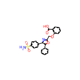 NS(=O)(=O)c1ccc(-c2nc(COc3ccccc3C(=O)O)oc2-c2ccccc2)cc1